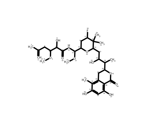 C=C(C)CC(OC)C(O)C(=O)NC(OC)C1CC(F)C(C)(C)C(CC(O)C(C)C2Cc3c(C)c(O)cc(O)c3C(=O)O2)O1